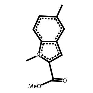 COC(=O)c1cc2cc(C)ccc2n1C